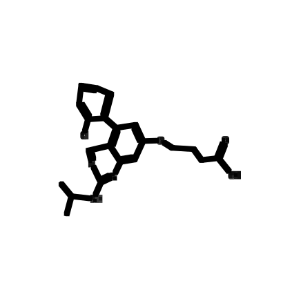 CC(C)Nc1ncc2c(-c3ccccc3Cl)cc(OCCCC(=O)O)cc2n1